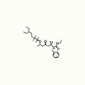 CCOC(=O)[C@H](Cc1ccccc1)C1(CC(=O)CC(C)O[Si](C)(C)C(C)(C)CCC(CC)CC)CC1